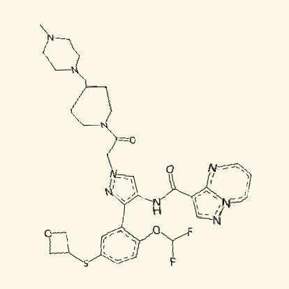 CN1CCN(C2CCN(C(=O)Cn3cc(NC(=O)c4cnn5cccnc45)c(-c4cc(SC5COC5)ccc4OC(F)F)n3)CC2)CC1